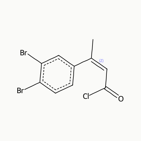 C/C(=C/C(=O)Cl)c1ccc(Br)c(Br)c1